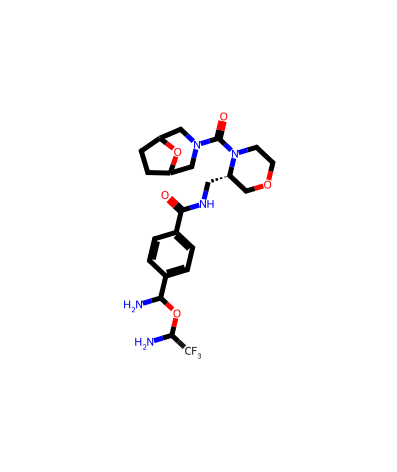 NC(OC(N)C(F)(F)F)c1ccc(C(=O)NC[C@H]2COCCN2C(=O)N2CC3CCC(C2)O3)cc1